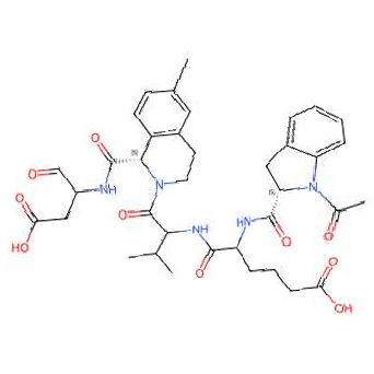 CC(=O)N1c2ccccc2C[C@H]1C(=O)NC(CCCC(=O)O)C(=O)NC(C(=O)N1CCc2cc(C)ccc2[C@H]1C(=O)NC(C=O)CC(=O)O)C(C)C